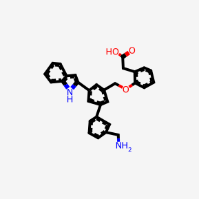 NCc1cccc(-c2cc(COc3ccccc3CC(=O)O)cc(-c3cc4ccccc4[nH]3)c2)c1